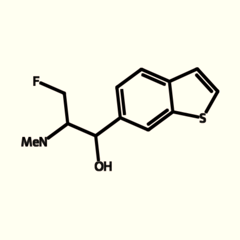 CNC(CF)C(O)c1ccc2ccsc2c1